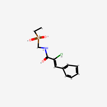 CCS(=O)(=O)CNC(=O)C(Cl)=Cc1ccccc1